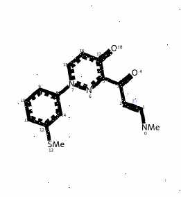 CN/C=C/C(=O)c1nn(-c2cccc(SC)c2)ccc1=O